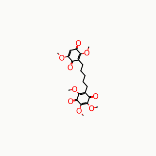 COC1=CC(=O)C(OC)=C(CCCCCC2=C(OC)C(=O)C(OC)=C(OC)C2=O)C1=O